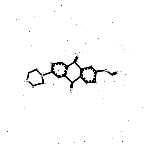 O=COc1ccc2c(c1)C(=O)c1ccc(N3CCOCC3)cc1C2=O